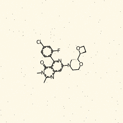 Cc1nc2cc(N3CCO[C@@H]([C@@H]4CCO4)C3)nc(-c3ccc(Cl)cc3F)c2c(=O)n1C